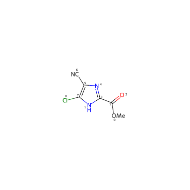 COC(=O)c1nc(C#N)c(Cl)[nH]1